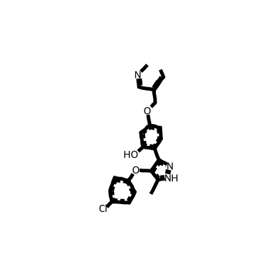 C/C=C(\C=N/C)COc1ccc(-c2n[nH]c(C)c2Oc2ccc(Cl)cc2)c(O)c1